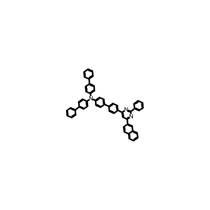 c1ccc(-c2ccc(N(c3ccc(-c4ccccc4)cc3)c3ccc(-c4ccc(-c5cc(-c6ccc7ccccc7c6)nc(-c6ccccc6)n5)cc4)cc3)cc2)cc1